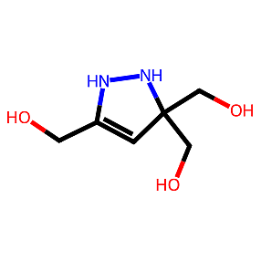 OCC1=CC(CO)(CO)NN1